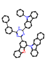 c1ccc(-c2cccc(C3=NC(c4cc(-n5c6ccccc6c6cc7ccccc7cc65)c5oc6ccccc6c5c4)=NC(c4ccc5c6ccccc6n(-c6ccccc6)c5c4)N3)c2)cc1